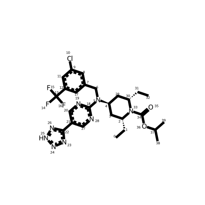 CC[C@@H]1C[C@@H](N(Cc2cc(Cl)cc(C(F)(F)F)c2)c2ncc(-c3nn[nH]n3)cn2)C[C@H](CC)N1C(=O)OC(C)C